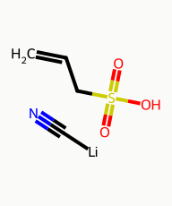 C=CCS(=O)(=O)O.[Li][C]#N